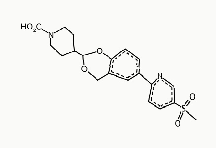 CS(=O)(=O)c1ccc(-c2ccc3c(c2)COC(C2CCN(C(=O)O)CC2)O3)nc1